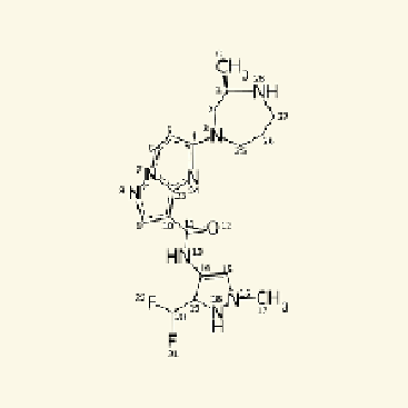 C[C@@H]1CN(c2ccn3ncc(C(=O)NC4=CN(C)NC4C(F)F)c3n2)CCCN1